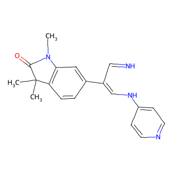 CN1C(=O)C(C)(C)c2ccc(/C(C=N)=C/Nc3ccncc3)cc21